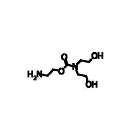 NCCOC(=O)N(CCO)CCO